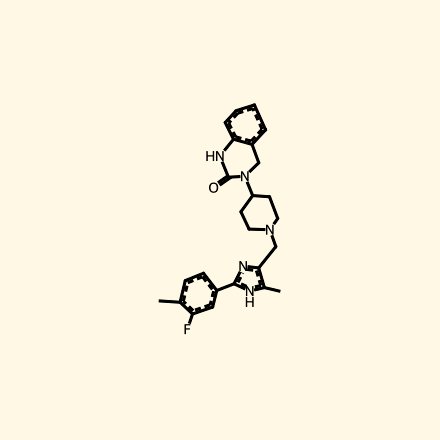 Cc1ccc(-c2nc(CN3CCC(N4Cc5ccccc5NC4=O)CC3)c(C)[nH]2)cc1F